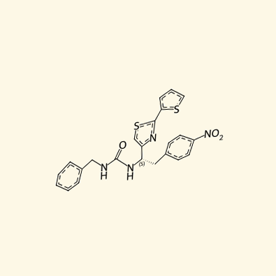 O=C(NCc1ccccc1)N[C@@H](Cc1ccc([N+](=O)[O-])cc1)c1csc(-c2cccs2)n1